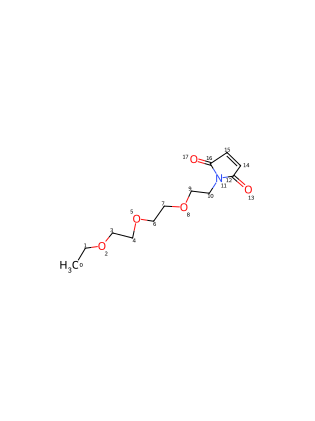 CCOCCOCCOCCN1C(=O)C=CC1=O